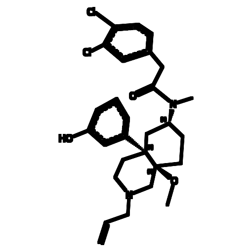 C=CCN1CC[C@@]2(c3cccc(O)c3)C[C@H](N(C)C(=O)Cc3ccc(Cl)c(Cl)c3)CC[C@]2(OC)C1